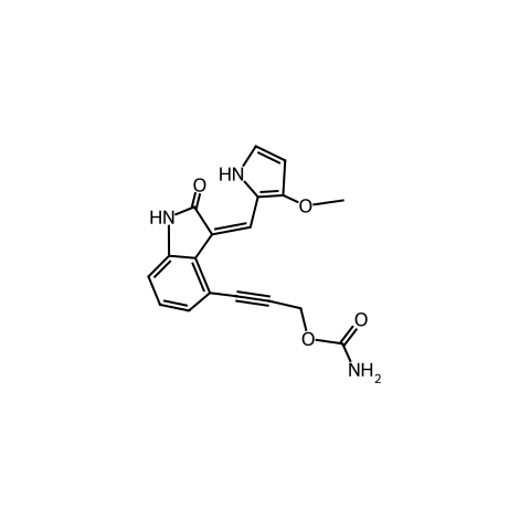 COc1cc[nH]c1/C=C1\C(=O)Nc2cccc(C#CCOC(N)=O)c21